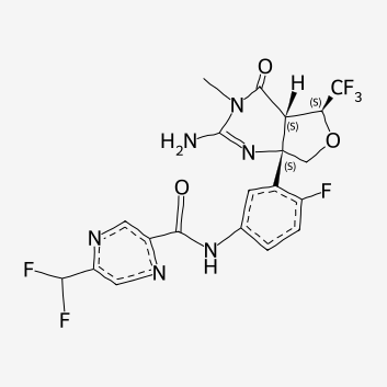 CN1C(=O)[C@@H]2[C@@H](C(F)(F)F)OC[C@]2(c2cc(NC(=O)c3cnc(C(F)F)cn3)ccc2F)N=C1N